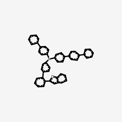 c1ccc(-c2ccc(-c3ccc(N(c4ccc(-c5ccccc5)cc4)c4ccc(-c5ccccc5-c5cc6ccccc6o5)cc4)cc3)cc2)cc1